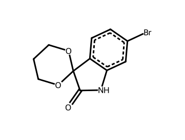 O=C1Nc2cc(Br)ccc2C12OCCCO2